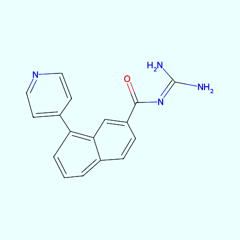 NC(N)=NC(=O)c1ccc2cccc(-c3ccncc3)c2c1